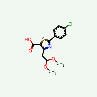 COC(Cc1nc(-c2ccc(Cl)cc2)sc1C(=O)O)OC